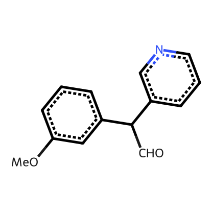 COc1cccc(C(C=O)c2cccnc2)c1